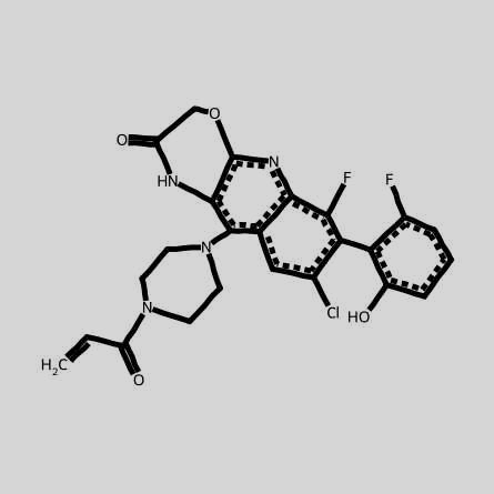 C=CC(=O)N1CCN(c2c3c(nc4c(F)c(-c5c(O)cccc5F)c(Cl)cc24)OCC(=O)N3)CC1